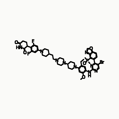 CCc1cc(Nc2ncc(Br)c(-c3ccc4ocnc4c3P(C)(C)=O)n2)c(OC)cc1N1CCC(N2CCN(CCC3CCN(c4cc(F)c(C5CCC(=O)NC5=O)c(F)c4)CC3)CC2)CC1